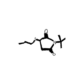 CCCSC1CC(=O)N(C(C)(C)C)C1=O